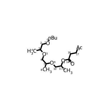 CCCCOCC(C)OCC(C)OCC(C)OC(=O)CCC(C)=O